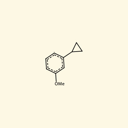 COc1cc[c]c(C2CC2)c1